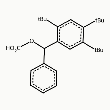 CC(C)(C)c1cc(C(C)(C)C)c(C(C)(C)C)cc1C(OC(=O)O)c1ccccc1